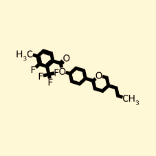 CCCC1CCC(C2CCC(OC(=O)c3ccc(C)c(F)c3C(F)(F)F)CC2)OC1